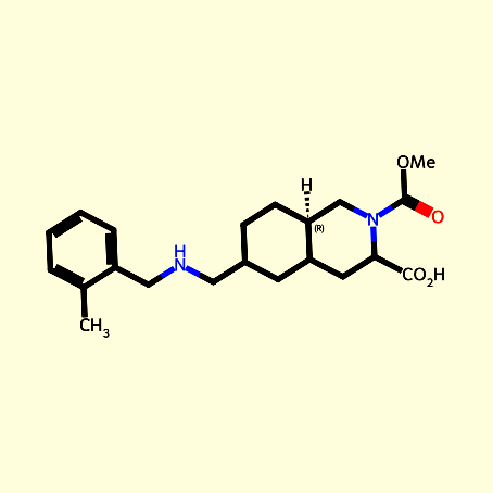 COC(=O)N1C[C@@H]2CCC(CNCc3ccccc3C)CC2CC1C(=O)O